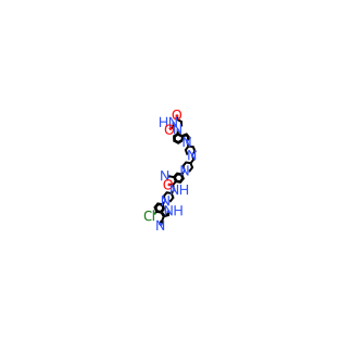 N#Cc1cc(N2CCC(CN3CCC(n4ccc5c(N6CCC(=O)NC6=O)cccc54)CC3)CC2)ccc1C(=O)NC1CCN(c2ccc(Cl)c3c(C#N)c[nH]c23)CC1